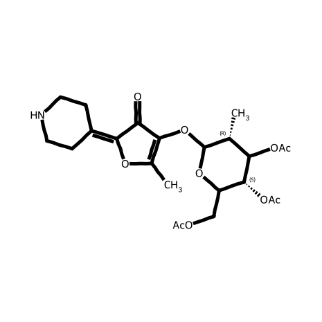 CC(=O)OCC1OC(OC2=C(C)OC(=C3CCNCC3)C2=O)[C@H](C)C(OC(C)=O)[C@@H]1OC(C)=O